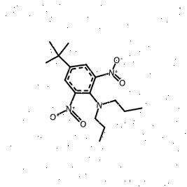 CCCN(CCC)c1c([N+](=O)[O-])cc(C(C)(C)C)cc1[N+](=O)[O-]